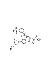 O=C(O)C1(C[C@H]2CN(S(=O)(=O)c3cccc(C(F)(F)F)c3)c3cc(-c4cc(F)cc(OC(F)F)c4)ccc3O2)CCC1